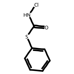 O=C(NCl)Sc1ccccc1